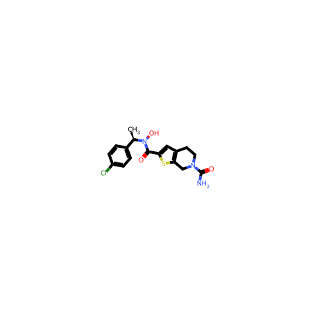 C[C@H](c1ccc(Cl)cc1)N(O)C(=O)c1cc2c(s1)CN(C(N)=O)CC2